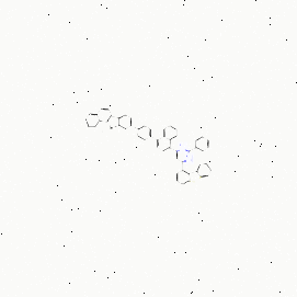 CC1(C)c2cc(-c3ccc(-c4ccc(-c5cc(-c6cccc7sc8ccccc8c67)nc(-c6ccccc6)n5)c5ccccc45)cc3)ccc2-c2ccc3ccccc3c21